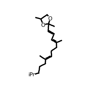 C/C(=C\C=C\C1(C)OCC(C)O1)CC/C=C(\C)CCCC(C)C